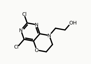 OCCN1CCOc2c(Cl)nc(Cl)nc21